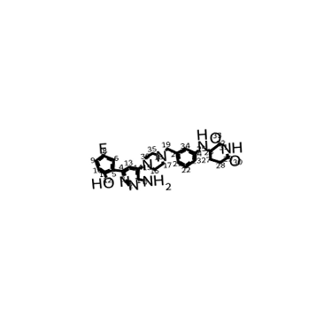 Nc1nnc(-c2cc(F)ccc2O)cc1N1CCN(Cc2cccc(NC3CCC(=O)NC3=O)c2)CC1